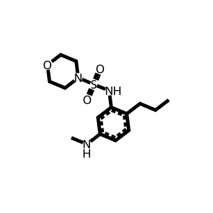 CCCc1ccc(NC)cc1NS(=O)(=O)N1CCOCC1